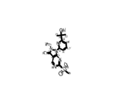 CC(C)n1c(=O)c2cnc(S(C)(=O)=O)nc2n1-c1cccc(C(C)(C)O)n1